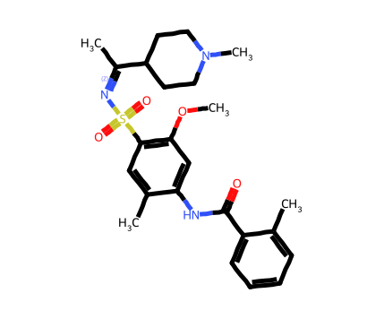 COc1cc(NC(=O)c2ccccc2C)c(C)cc1S(=O)(=O)/N=C(/C)C1CCN(C)CC1